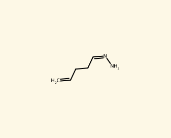 C=CCC/C=N\N